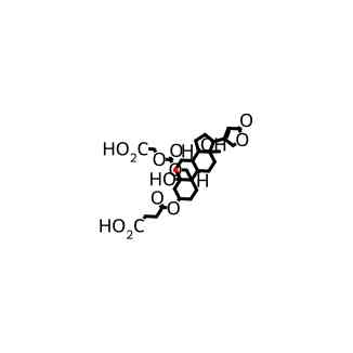 CC12CC[C@H]3[C@@H](CCC4(O)CC(OC(=O)CCC(=O)O)CCC34COC(=O)OCC(=O)O)C1(O)CCC2C1=CC(=O)OC1